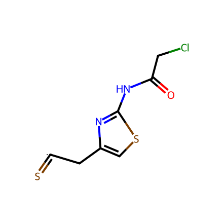 O=C(CCl)Nc1nc(C[C]=S)cs1